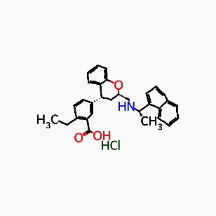 CCc1ccc([C@H]2C[C@H](CN[C@H](C)c3cccc4ccccc34)Oc3ccccc32)cc1C(=O)O.Cl